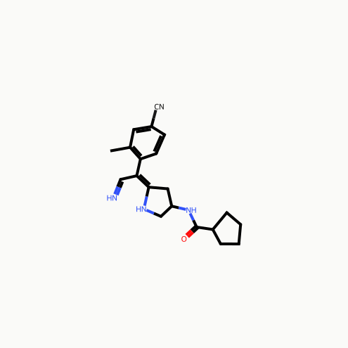 Cc1cc(C#N)ccc1/C(C=N)=C1\CC(NC(=O)C2CCCC2)CN1